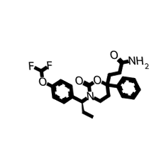 CC[C@@H](c1ccc(OC(F)F)cc1)N1CCC(CCC(N)=O)(c2ccccc2)OC1=O